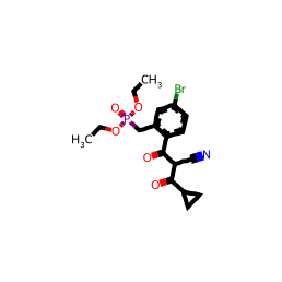 CCOP(=O)(Cc1cc(Br)ccc1C(=O)C(C#N)C(=O)C1CC1)OCC